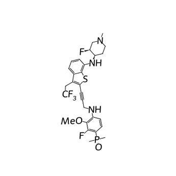 COc1c(NCC#Cc2sc3c(N[C@@H]4CCN(C)C[C@@H]4F)cccc3c2CC(F)(F)F)ccc(P(C)(C)=O)c1F